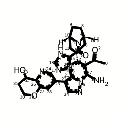 CC(=O)c1c([C@H]2C[C@H]3CC[C@@H](C2)N3C(=O)c2nnc[nH]2)nc2c(-c3cnc4c(c3)OCCC4O)cnn2c1N